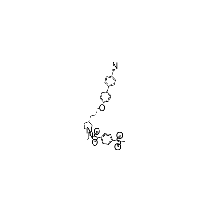 CN(N1CC[C@@H](CCCOc2ccc(-c3ccc(C#N)cc3)cc2)C1)S(=O)(=O)c1ccc(S(C)(=O)=O)cc1